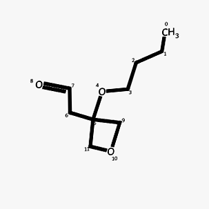 CCCCOC1(CC=O)COC1